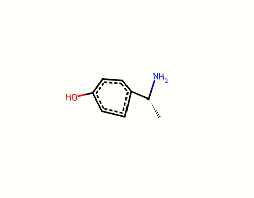 C[C@@H](N)c1ccc(O)cc1